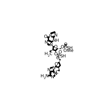 C=C[C@@H]1[C@H](OP(=O)(S)OC[C@@H]2C[C@@H](C=C)[C@H](n3cnc4c(N)ncnc43)O2)[C@@H](COP(=O)(S)OC)O[C@H]1n1cnc2c(=O)n3ccnc3[nH]c21